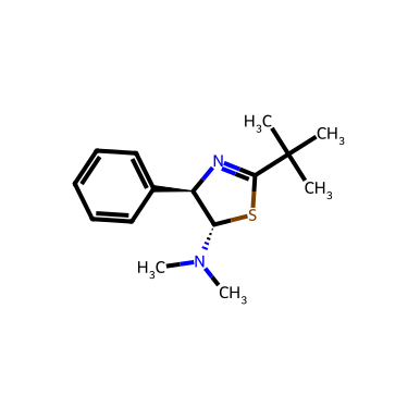 CN(C)[C@H]1SC(C(C)(C)C)=N[C@@H]1c1ccccc1